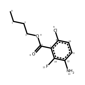 CCCCOC(=O)c1c(Cl)ccc(N)c1F